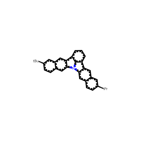 CC(C)c1ccc2cc3c(cc2c1)c1cccc2c4cc5cc(C(C)(C)C)ccc5cc4n3c12